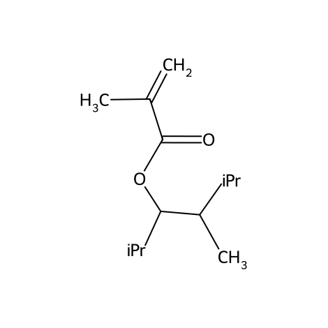 C=C(C)C(=O)OC(C(C)C)C(C)C(C)C